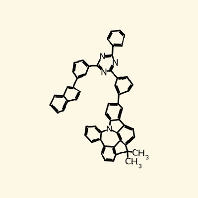 CC1(C)c2cccc3c2-c2c1ccc1c4cc(-c5cccc(-c6nc(-c7ccccc7)nc(-c7cccc(-c8ccc9ccccc9c8)c7)n6)c5)ccc4n(c21)-c1ccccc1-3